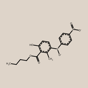 CCCCOC(=O)c1c(O)ccc([S+]([O-])c2ccc([N+](=O)[O-])cc2)c1C